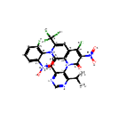 CC(C)c1ncnc(C(C)C)c1-n1c(=O)c([N+](=O)[O-])c(Cl)c2cc(C(F)(F)F)n(-c3c(F)cccc3[N+](=O)[O-])c(=O)c21